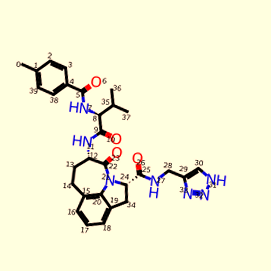 Cc1ccc(C(=O)N[C@H](C(=O)N[C@H]2CCc3cccc4c3N(C2=O)[C@H](C(=O)NCc2c[nH]nn2)C4)C(C)C)cc1